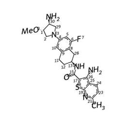 CO[C@H]1CN(c2cc(F)c3c(c2)CC[C@H](NC(=O)c2sc4nc(C)ccc4c2N)C3)C[C@@H]1N